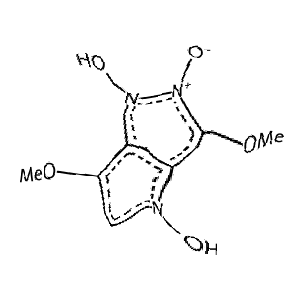 COc1cn(O)c2c(OC)[n+]([O-])n(O)c12